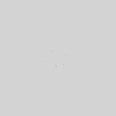 Cc1cc2c3c(c1)c1cc(C)cc4c1n3-c1c3c5c(c(C(F)(F)F)c1B2c1cccc(C(C)(C)C)c1)B(c1cccc(C(C)(C)C)c1)c1ccc(C)c2c6cc(C)cc(c6n-5c12)B34